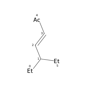 CCC(C=CC(C)=O)CC